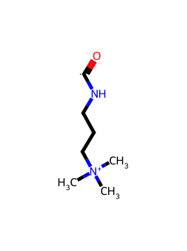 C[N+](C)(C)CCCN[C]=O